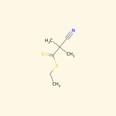 CCSC(=S)C(C)(C)C#N